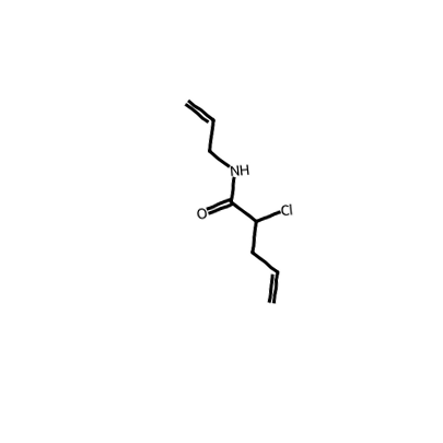 C=CCNC(=O)C(Cl)CC=C